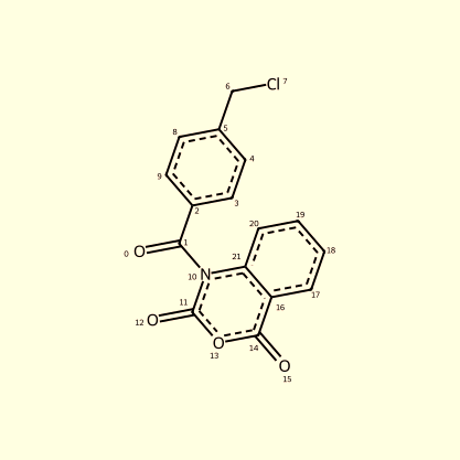 O=C(c1ccc(CCl)cc1)n1c(=O)oc(=O)c2ccccc21